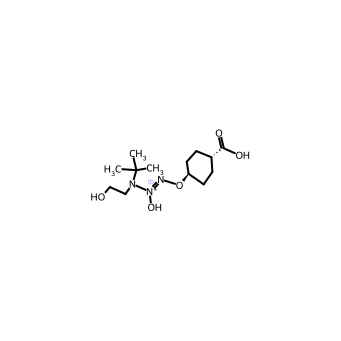 CC(C)(C)N(CCO)/[N+](O)=N/O[C@H]1CC[C@H](C(=O)O)CC1